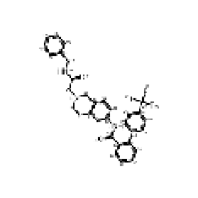 O=C(CN1CCc2cc(NC(=O)c3ccccc3-c3ccc(C(F)(F)F)cc3)ccc2C1)NCc1ccccc1